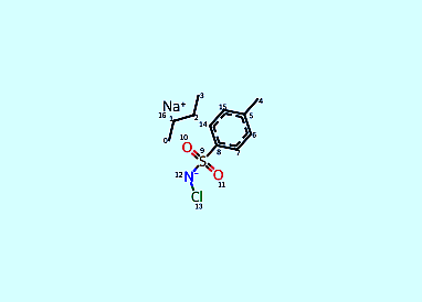 CCCC.Cc1ccc(S(=O)(=O)[N-]Cl)cc1.[Na+]